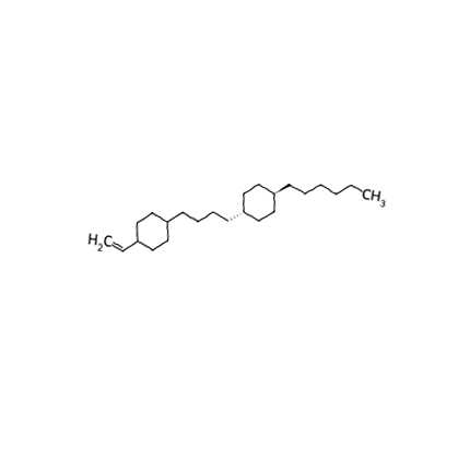 C=CC1CCC(CCCC[C@H]2CC[C@H](CCCCCC)CC2)CC1